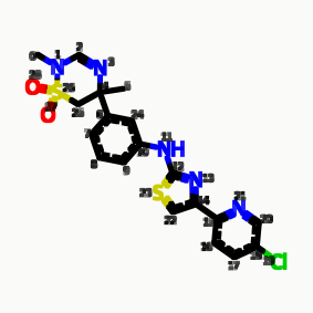 CN1C=NC(C)(c2cccc(Nc3nc(-c4ccc(Cl)cn4)cs3)c2)CS1(=O)=O